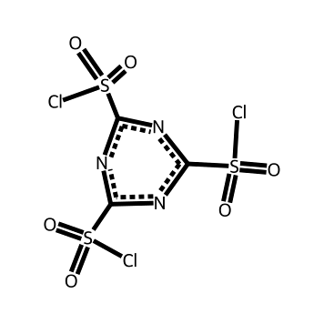 O=S(=O)(Cl)c1nc(S(=O)(=O)Cl)nc(S(=O)(=O)Cl)n1